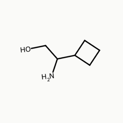 NC(CO)C1CCC1